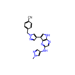 Cn1cc(Nc2cnc3[nH]cc(-c4cnn(Cc5ccc(C#N)cc5)c4)c3n2)cn1